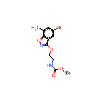 Cc1cc(Br)cc2c(OCCNC(=O)OC(C)(C)C)noc12